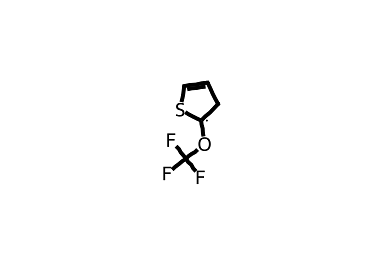 FC(F)(F)O[C]1CC=CS1